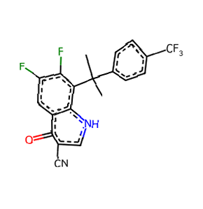 CC(C)(c1ccc(C(F)(F)F)cc1)c1c(F)c(F)cc2c(=O)c(C#N)c[nH]c12